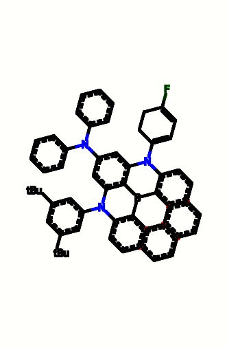 CC(C)(C)c1cc(N2c3cccc(-c4ccccc4)c3B3c4c(-c5ccccc5)cccc4N(C4=CC=C(F)CC4)c4cc(N(c5ccccc5)c5ccccc5)cc2c43)cc(C(C)(C)C)c1